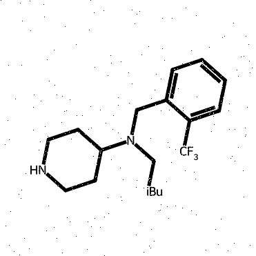 CCC(C)CN(Cc1ccccc1C(F)(F)F)C1CCNCC1